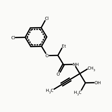 CC#CC(C)(NC(=O)C(CC)Oc1cc(Cl)cc(Cl)c1)C(C)O